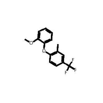 COc1ccccc1Oc1ccc(C(F)(F)F)cc1C